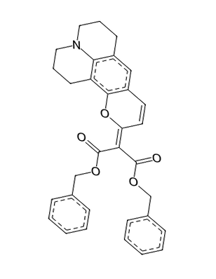 O=C(OCc1ccccc1)C(C(=O)OCc1ccccc1)=C1C=Cc2cc3c4c(c2O1)CCCN4CCC3